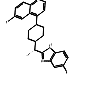 C[C@@H](c1nc2cc(F)ccc2[nH]1)C1CCC(c2ccnc3ccc(F)cc23)CC1